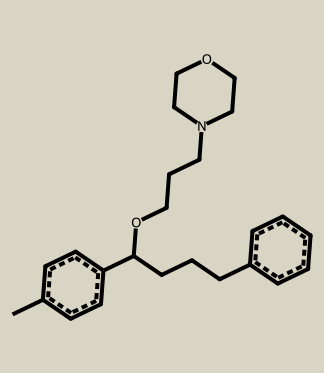 Cc1ccc(C(CCCc2ccccc2)OCCCN2CCOCC2)cc1